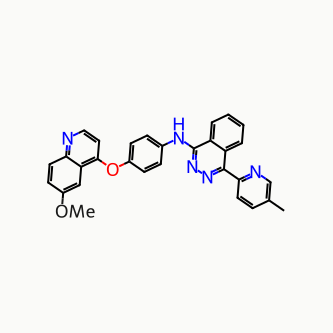 COc1ccc2nccc(Oc3ccc(Nc4nnc(-c5ccc(C)cn5)c5ccccc45)cc3)c2c1